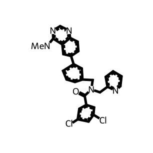 CNc1ncnc2ccc(-c3cccc(CN(Cc4ccccn4)C(=O)c4cc(Cl)cc(Cl)c4)c3)cc12